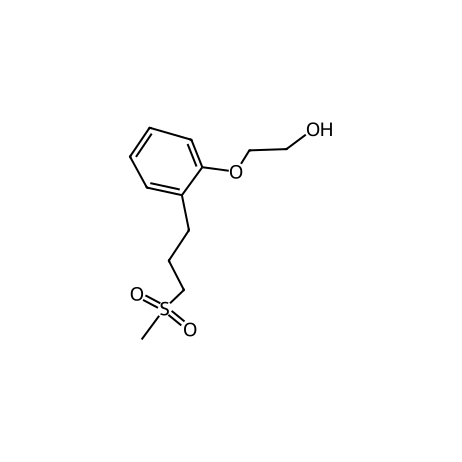 CS(=O)(=O)CCCc1ccccc1OCCO